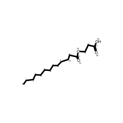 CCCCCCCCCCCCC(=O)OCCC(=O)O